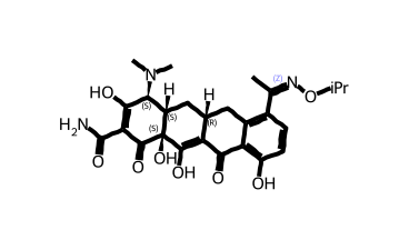 C/C(=N/OC(C)C)c1ccc(O)c2c1C[C@H]1C[C@H]3[C@H](N(C)C)C(O)=C(C(N)=O)C(=O)[C@@]3(O)C(O)=C1C2=O